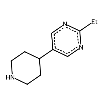 CCc1ncc(C2CCNCC2)cn1